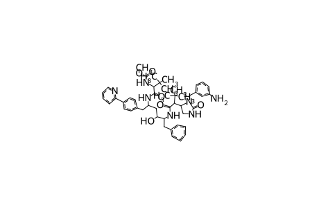 COC(=O)NC(C(=O)NC(Cc1ccc(-c2ccccn2)cc1)CC(O)C(Cc1ccccc1)NC(=O)C(C1CNC(=O)N1Cc1cccc(N)c1)C(C)(C)C)C(C)(C)C